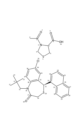 CC(=O)N1CSCC1C(=O)O.CC(C)(C)CN1C(=O)CS[C@H](c2cccc3ccccc23)c2cc(Cl)ccc21